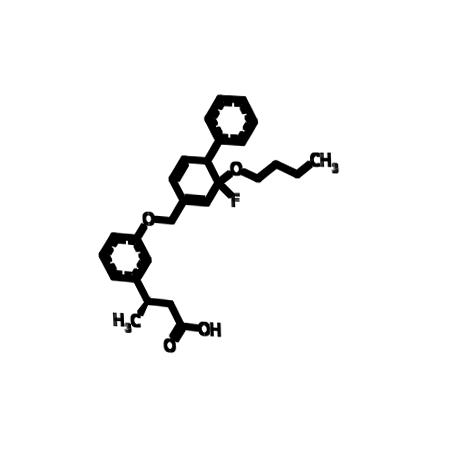 CCCCOC1(F)C=C(COc2cccc([C@H](C)CC(=O)O)c2)C=CC1c1ccccc1